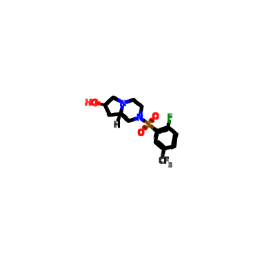 O=S(=O)(c1cc(C(F)(F)F)ccc1F)N1CCN2C[C@H](O)C[C@H]2C1